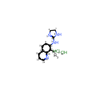 Cc1c(NC2=NCCN2)ccc2cccnc12.Cl.Cl